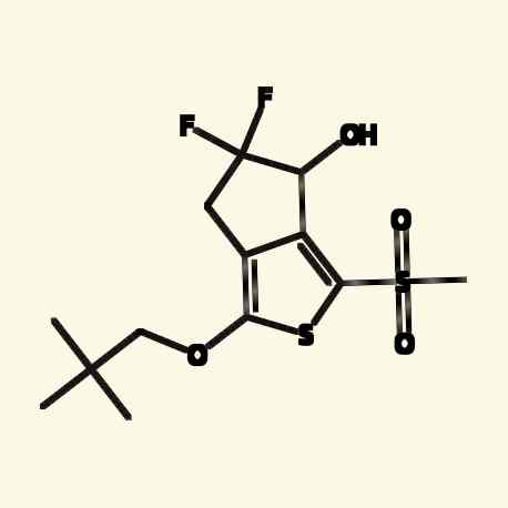 CC(C)(C)COc1sc(S(C)(=O)=O)c2c1CC(F)(F)C2O